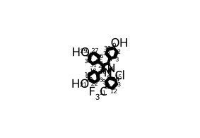 Oc1ccc(-c2nn(-c3cc(C(F)(F)F)ccc3Cl)c(-c3ccc(O)cc3)c2-c2ccc(O)cc2)cc1